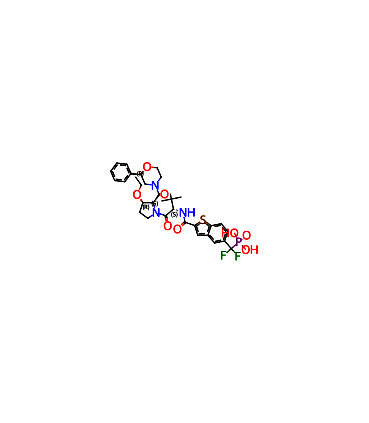 CCO[C@@H]1CCN(C(=O)[C@@H](NC(=O)c2cc3cc(C(F)(F)P(=O)(O)O)ccc3s2)C(C)(C)C)[C@@H]1C(=O)N1CCO[C@H](c2ccccc2)C1